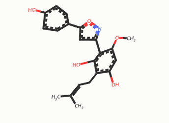 COc1cc(O)c(CC=C(C)C)c(O)c1-c1cc(-c2ccc(O)cc2)on1